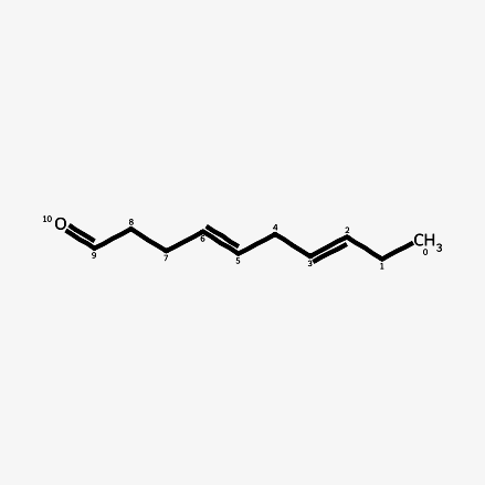 CCC=CCC=CCCC=O